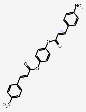 O=C(/C=C/c1ccc([N+](=O)[O-])cc1)Oc1ccc(OC(=O)/C=C/c2ccc([N+](=O)[O-])cc2)cc1